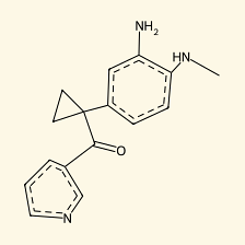 CNc1ccc(C2(C(=O)c3cccnc3)CC2)cc1N